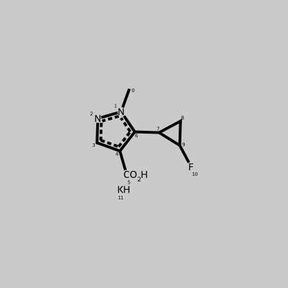 Cn1ncc(C(=O)O)c1C1CC1F.[KH]